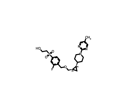 Cc1cnc(N2CCC([C@H]3C[C@H]3COCc3ccc(S(=O)(=O)CCO)cc3F)CC2)nc1